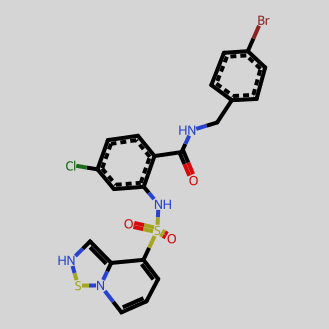 O=C(NCc1ccc(Br)cc1)c1ccc(Cl)cc1NS(=O)(=O)C1=CC=CN2SNC=C12